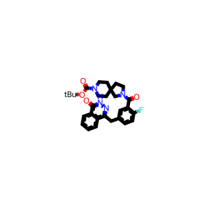 CC(C)(C)OC(=O)N1CCC2(CC1)CCN(C(=O)c1cc(Cc3n[nH]c(=O)c4ccccc34)ccc1F)C2